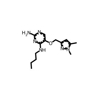 CCCCNc1nc(N)ncc1OCc1cc(C)n(C)n1